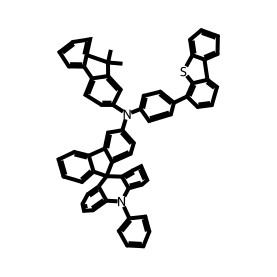 CC1(C)c2ccccc2-c2ccc(N(c3ccc(-c4cccc5c4sc4ccccc45)cc3)c3ccc4c(c3)-c3ccccc3C43c4ccccc4N(c4ccccc4)c4ccccc43)cc21